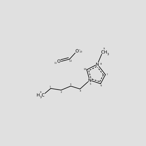 CCCCC[n+]1ccn(C)c1.O=C[O-]